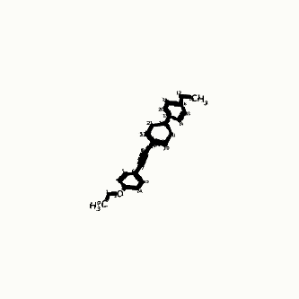 CCOc1ccc(C#CC2=CCC(c3ccc(CC)cc3)CC2)cc1